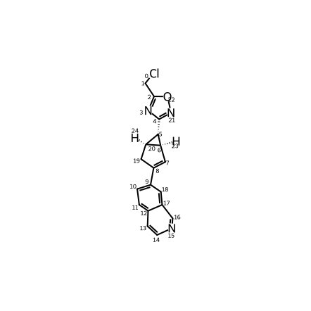 ClCc1nc([C@@H]2[C@H]3C=C(c4ccc5ccncc5c4)C[C@H]32)no1